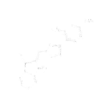 COc1ccc(-c2ccc(C=C3C(=O)c4ccccc4C3=O)o2)c([N+](=O)[O-])c1